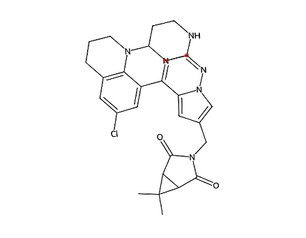 CC1(C)C2C(=O)N(Cc3cc4c(-c5cc(Cl)cc6c5N(C5CCNCC5)CCC6)ncnn4c3)C(=O)C21